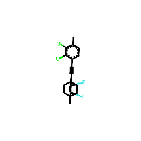 Cc1ccc(C#CC23CCC(C)(CC2)C(F)=C3F)c(Cl)c1Cl